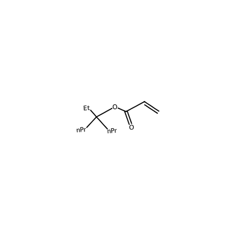 C=CC(=O)OC(CC)(CCC)CCC